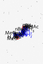 CCCCc1nn(-c2nc(N)nc(-n3nc(CCCC)c(/N=N/c4c(C(=O)OC)c(C)c(NC(C)=O)n4C)c3N)n2)c(N)c1/N=N/c1c(C(=O)OC)c(C)c(N=COC)n1C